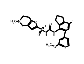 COc1cc(-c2cc(F)c3c(c2NC(=O)NS(=O)(=O)c2cc4c(s2)CCN(C)C4)CCC3)ccn1